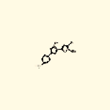 CC(C)c1cc(-c2cc(-c3ccc(C(=O)O)cc3)cn2C(C)C)nn1C(C)(C)C